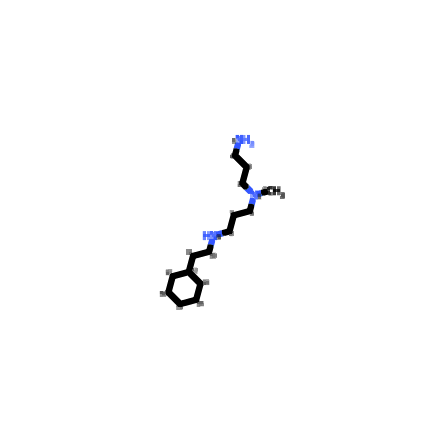 CN(CCCN)CCCNCCC1CCCCC1